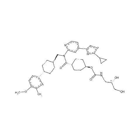 COc1ccc([C@H]2CC[C@H](CN(c3cc(-c4coc(C5CC5)n4)ccn3)C(=O)[C@H]3CC[C@H](OC(=O)NC[C@H](O)CO)CC3)CC2)nc1C